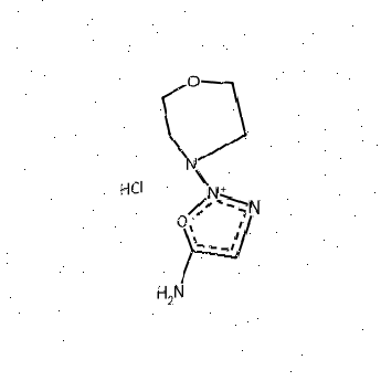 Cl.Nc1cn[n+](N2CCOCC2)o1